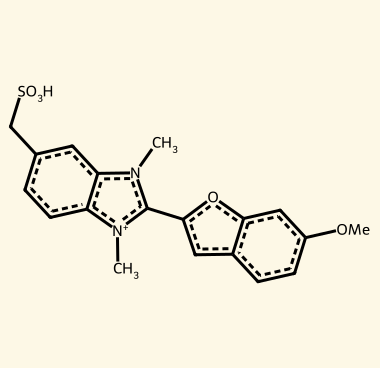 COc1ccc2cc(-c3n(C)c4cc(CS(=O)(=O)O)ccc4[n+]3C)oc2c1